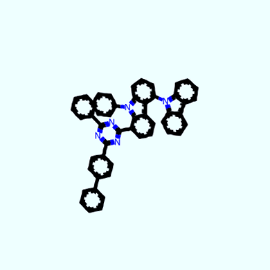 c1ccc(-c2ccc(-c3nc(-c4ccccc4)nc(-c4cccc5c6c(-n7c8ccccc8c8ccccc87)cccc6n(-c6ccccc6)c45)n3)cc2)cc1